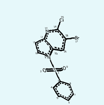 O=S(=O)(c1ccccc1)n1ccc2nc(Cl)c(Br)cc21